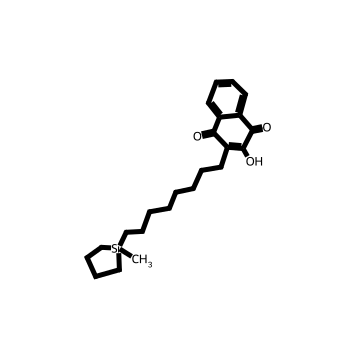 C[Si]1(CCCCCCCCC2=C(O)C(=O)c3ccccc3C2=O)CCCC1